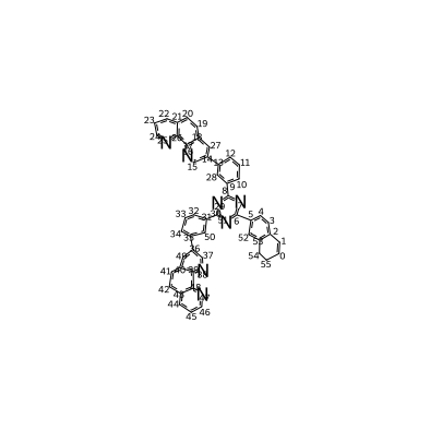 C1=Cc2ccc(-c3nc(-c4cccc(-c5cnc6c(ccc7cccnc76)c5)c4)nc(-c4cccc(-c5cnc6c(ccc7cccnc76)c5)c4)n3)cc2CC1